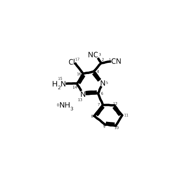 N.N#CC(C#N)c1nc(-c2ccccc2)nc(N)c1Cl